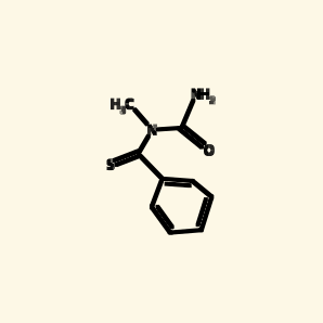 CN(C(N)=O)C(=S)c1ccccc1